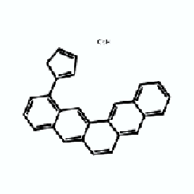 C1=CCC(c2cccc3cc4ccc5cc6ccccc6cc5c4cc23)=C1.[CsH]